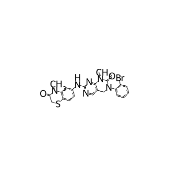 CN1C(=O)CSc2ccc(Nc3ncc4c(n3)N(C)C(=O)N(c3ccccc3Br)C4)cc21